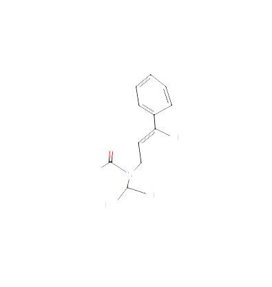 CC(=O)N(C/C=C(\C)c1ccccc1)C(C)C